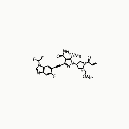 C=CC(=O)N1CC(n2nc(C#Cc3cc4c(cc3F)ncn4C(F)F)c(C(N)=O)c2NC)C[C@@H]1COC